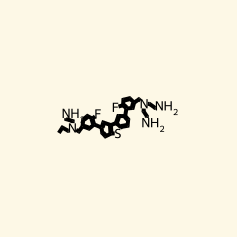 CCCN(CCN)Cc1ccc(F)c(-c2ccc3sc4ccc(-c5cc(CN(CCN)CCN)ccc5F)cc4c3c2)c1